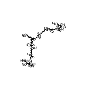 CC(=O)NC1C(OCCCC(=O)NCCCCCCNC(=O)OCCCC(C)(CCCO)CCCOC(=O)NCCCCCCNC(=O)CCCOC2OC(CO)C(O)C(O)C2NC(C)=O)OC(CO)C(O)C1O